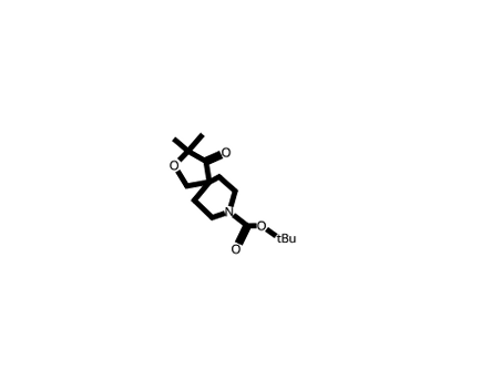 CC(C)(C)OC(=O)N1CCC2(CC1)COC(C)(C)C2=O